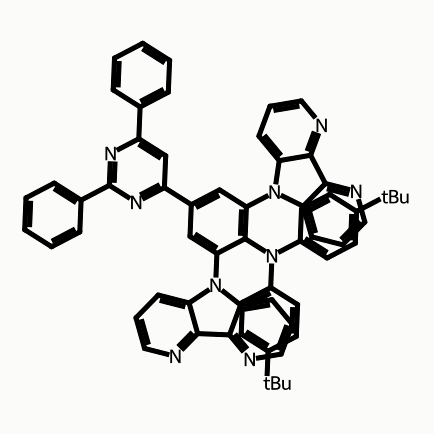 CC(C)(C)c1ccc(N(c2ccc(C(C)(C)C)cc2)c2c(-n3c4cccnc4c4ncccc43)cc(-c3cc(-c4ccccc4)nc(-c4ccccc4)n3)cc2-n2c3cccnc3c3ncccc32)cc1